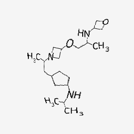 CC(C)NC1CCC(CC(C)N2CC(OCC(C)NC3COC3)C2)C1